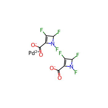 O=C([O-])C1=C(F)C(F)N1F.O=C([O-])C1=C(F)C(F)N1F.[Pd+2]